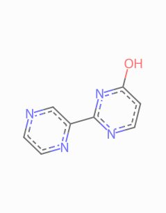 Oc1ccnc(-c2cnccn2)n1